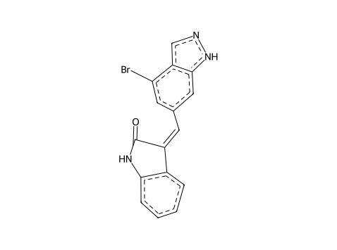 O=C1Nc2ccccc2C1=Cc1cc(Br)c2cn[nH]c2c1